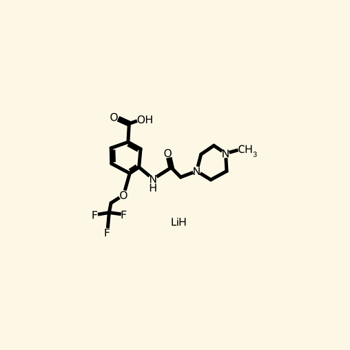 CN1CCN(CC(=O)Nc2cc(C(=O)O)ccc2OCC(F)(F)F)CC1.[LiH]